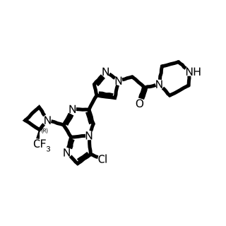 O=C(Cn1cc(-c2cn3c(Cl)cnc3c(N3CC[C@@H]3C(F)(F)F)n2)cn1)N1CCNCC1